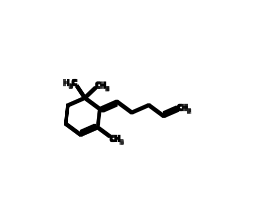 C=CCCC=C1C(C)=CCCC1(C)C